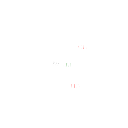 Cl.OCCO.[Au]